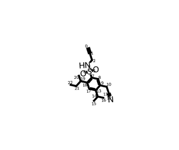 C#CCNS(=O)(=O)c1cc(CC#N)c(C(C)C)cc1C(C)CC